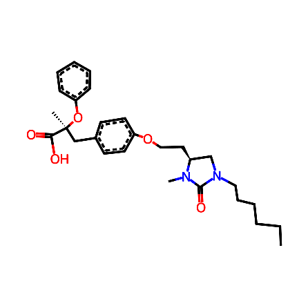 CCCCCCN1C[C@H](CCOc2ccc(C[C@](C)(Oc3ccccc3)C(=O)O)cc2)N(C)C1=O